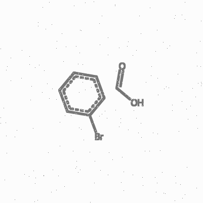 Brc1ccccc1.O=CO